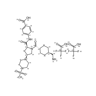 CS(=O)(=O)N1CCN([C@H]2C[C@@H](C(=O)Nc3ccc(C(=O)O)cc3)N(C(=O)[C@H]3CC[C@H](CN)CC3)C2)CC1.O=C(O)C(F)(F)F.O=C(O)C(F)(F)F